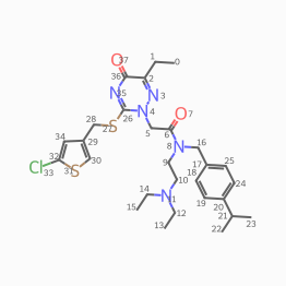 CCc1nn(CC(=O)N(CCN(CC)CC)Cc2ccc(C(C)C)cc2)c(SCc2csc(Cl)c2)nc1=O